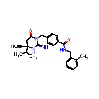 C#C[C@@]1(C(C)C)CC(=O)N(Cc2ccc(C(=O)NCc3ccccc3C)cc2)C(=N)N1